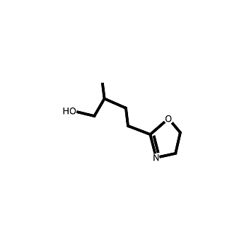 CC(CO)CCC1=NCCO1